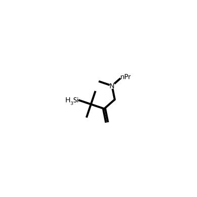 C=C(CN(C)CCC)C(C)(C)[SiH3]